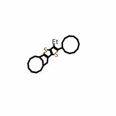 CCc1c(C2CCCCCCCCCC2)sc2c3c(sc12)C1CCCCCCCC(C3)C1